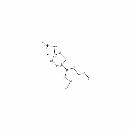 CCCCC(CCC)N1CCC2(CC1)CN(C)C2